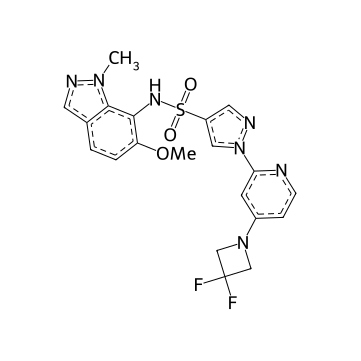 COc1ccc2cnn(C)c2c1NS(=O)(=O)c1cnn(-c2cc(N3CC(F)(F)C3)ccn2)c1